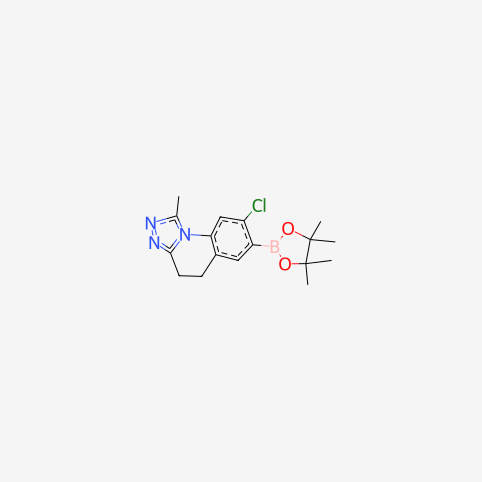 Cc1nnc2n1-c1cc(Cl)c(B3OC(C)(C)C(C)(C)O3)cc1CC2